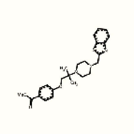 COC(=O)c1ccc(OCC(C)(C)N2CCN(Cc3nc4ccccc4s3)CC2)cc1